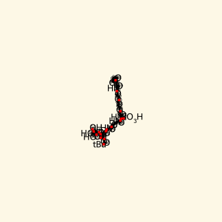 CC(C)(C)C(=O)OCc1ccc(O[C@@H]2C[C@H](CO)[C@H](O)[C@H](O)[C@H]2O)c(NC(=O)CCNC(=O)COCCNC(=O)[C@@H](CS(=O)(=O)O)NC(=O)CCOCCOCCOCCOCCNC(=O)CCN2C(=O)C=CC2=O)c1